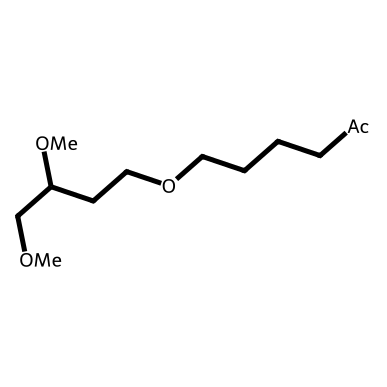 COCC(CCOCCCCC(C)=O)OC